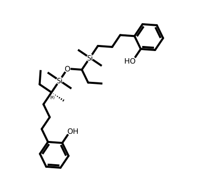 CCC(O[Si](C)(C)[C@](C)(CC)CCCc1ccccc1O)[Si](C)(C)CCCc1ccccc1O